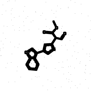 COC(=O)C(C=O)c1cc(-c2coc3ccccc23)cs1